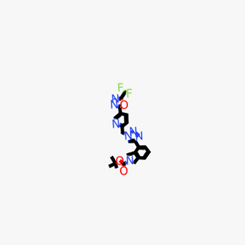 CC(C)(C)OC(=O)N1Cc2cccc(-c3cn(Cc4ccc(-c5nnc(C(F)F)o5)cn4)nn3)c2C1